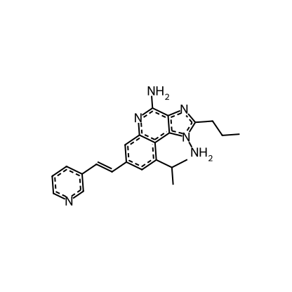 CCCc1nc2c(N)nc3cc(C=Cc4cccnc4)cc(C(C)C)c3c2n1N